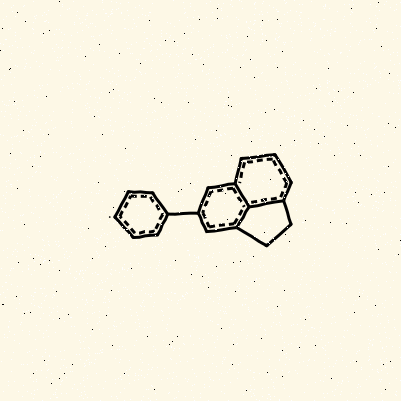 [c]1ccc(-c2cc3c4c(cccc4c2)CC3)cc1